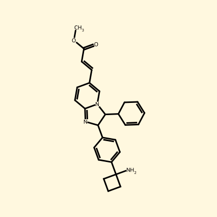 COC(=O)/C=C/C1=CN2C(=NC(c3ccc(C4(N)CCC4)cc3)C2C2C=CC=CC2)C=C1